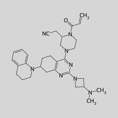 C=CC(=O)N1CCN(c2nc(N3CC(N(C)C)C3)nc3c2CCC(N2CCCc4ccccc42)C3)CC1CC#N